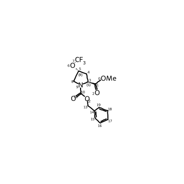 COC(=O)[C@@H]1C[C@@H](OC(F)(F)F)CN1C(=O)OCc1ccccc1